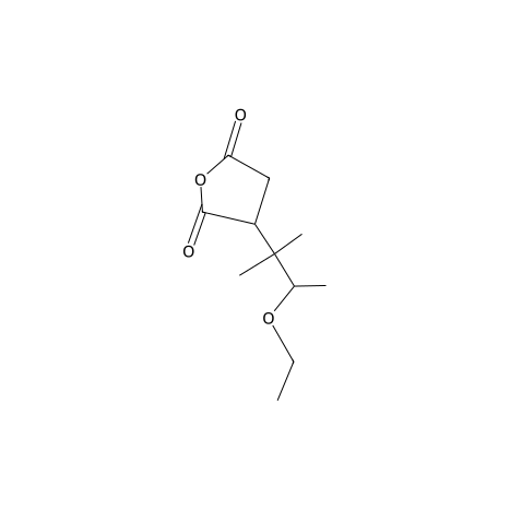 CCOC(C)C(C)(C)C1CC(=O)OC1=O